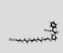 CN[C@H](C(=O)N1CC[C@H](OCCOCCOCCOCCOCCOC)C1)c1ccccc1